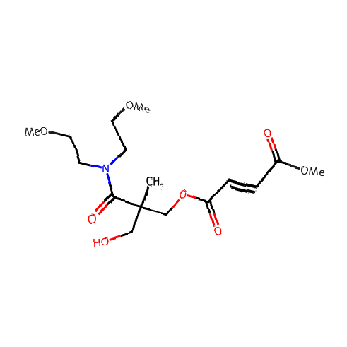 COCCN(CCOC)C(=O)C(C)(CO)COC(=O)/C=C/C(=O)OC